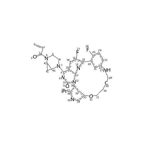 C=CC(=O)N1CCN(c2nc(=O)n3c4nc(c(F)cc24)-c2cc(ccc2F)NCCCCOc2cnc(C(C)C)c-3c2)C2CC21